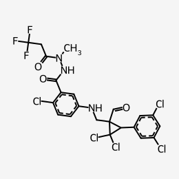 CN(NC(=O)c1cc(NCC2(C=O)C(c3cc(Cl)cc(Cl)c3)C2(Cl)Cl)ccc1Cl)C(=O)CC(F)(F)F